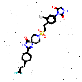 Cc1cc(N2C(=O)CNC2=O)ccc1CCS(=O)(=O)N1CCC2(CC1)N=C(C1CCC(CCC(F)F)CC1)NC2=O